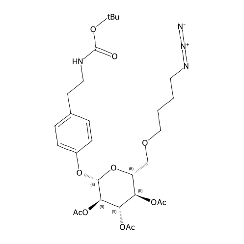 CC(=O)O[C@@H]1[C@@H](OC(C)=O)[C@H](Oc2ccc(CCNC(=O)OC(C)(C)C)cc2)O[C@H](COCCCCN=[N+]=[N-])[C@H]1OC(C)=O